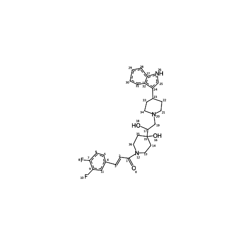 O=C(C=Cc1ccc(F)c(F)c1)N1CCC(O)(C(O)CN2CCC(c3c[nH]c4ccccc34)CC2)CC1